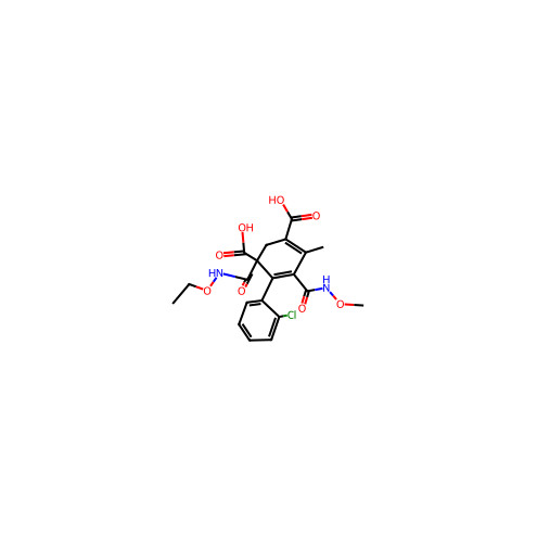 CCONC(=O)C1(C(=O)O)CC(C(=O)O)=C(C)C(C(=O)NOC)=C1c1ccccc1Cl